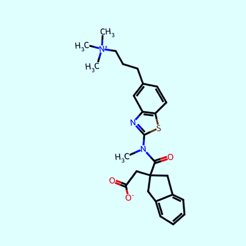 CN(C(=O)C1(CC(=O)[O-])Cc2ccccc2C1)c1nc2cc(CCC[N+](C)(C)C)ccc2s1